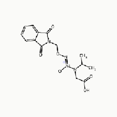 CC(C)N(CC(=O)O)/[N+]([O-])=N/OCN1C(=O)c2ccccc2C1=O